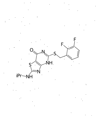 CC(C)Nc1nc2[nH]c(SCc3cccc(F)c3F)nc(=O)c2s1